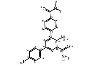 CN(C)C(=O)c1ccc(-c2cc(-c3ccc(F)cc3)cc(C(N)=O)c2N)cc1